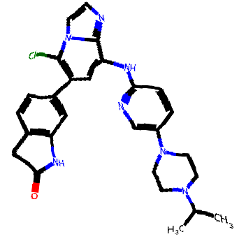 CC(C)N1CCN(c2ccc(Nc3cc(-c4ccc5c(c4)NC(=O)C5)c(Cl)n4ccnc34)nc2)CC1